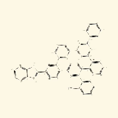 Nc1ccccc1-c1ccccc1-c1ccccc1-c1nc(-c2ccccc2)nc(-c2cccc(-c3cccc(-c4nc5ccccc5s4)c3)c2)n1